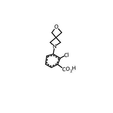 O=C(O)c1cccc(N2CC3(COC3)C2)c1Cl